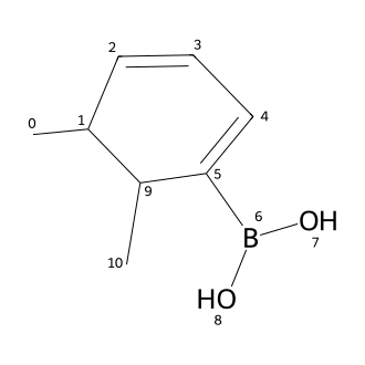 CC1C=CC=C(B(O)O)C1C